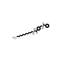 CCCCCCCCCCCCNNC(=O)c1ccc(CNC(=O)c2ccccc2)cc1